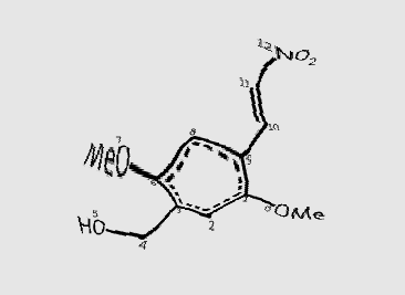 COc1cc(CO)c(OC)cc1/C=C/[N+](=O)[O-]